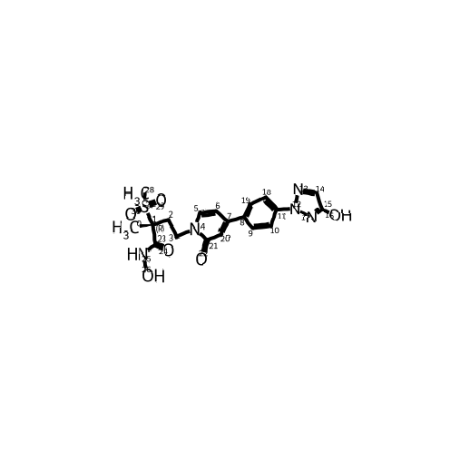 C[C@@](CCn1ccc(-c2ccc(-n3ncc(O)n3)cc2)cc1=O)(C(=O)NO)S(C)(=O)=O